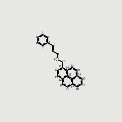 C(=Cc1ccccc1)COCc1ccc2ccc3cccc4ccc1c2c34